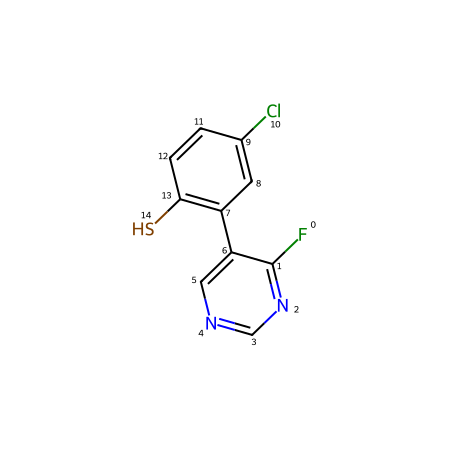 Fc1ncncc1-c1cc(Cl)ccc1S